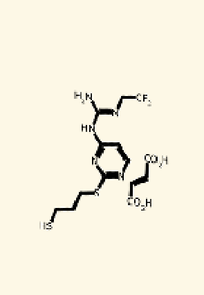 NC(=NCC(F)(F)F)Nc1ccnc(SCCCS)n1.O=C(O)C=CC(=O)O